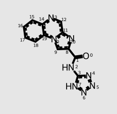 O=C(Nc1nnn[nH]1)c1cn2c(cnc3ccccc32)n1